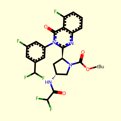 CC(C)(C)OC(=O)N1C[C@H](NC(=O)C(F)F)C[C@H]1c1nc2cccc(F)c2c(=O)n1-c1cc(F)cc(C(F)F)c1